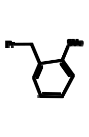 CSc1cc[c]cc1CC(C)C